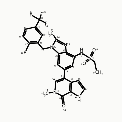 CCS(=O)(=O)Nc1cc(-c2cn(C)c(=O)c3[nH]ccc23)cc2c1nc(C)n2Cc1cc(C(F)(F)F)ccc1F